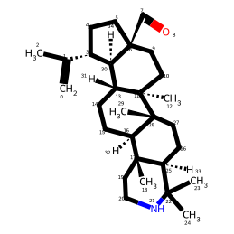 C=C(C)[C@@H]1CC[C@]2(C=O)CC[C@]3(C)[C@H](CC[C@@H]4[C@@]5(C)CCNC(C)(C)[C@@H]5CC[C@]43C)[C@@H]12